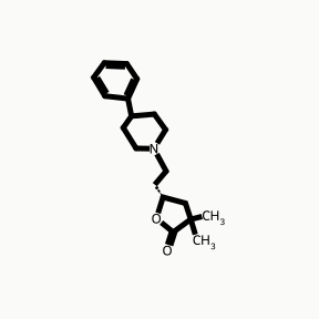 CC1(C)C[C@@H](CCN2CCC(c3ccccc3)CC2)OC1=O